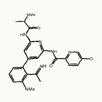 CNc1cccc(-c2cc(NC(=O)c3ccc(Cl)cn3)nc(NC(=O)C(C)NC)c2)c1C(C)=N